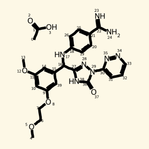 CC(=O)O.COCCOc1cc(OC)cc(C(Nc2ccc(C(=N)N)cc2)c2nn(-c3cccnn3)c(=O)[nH]2)c1